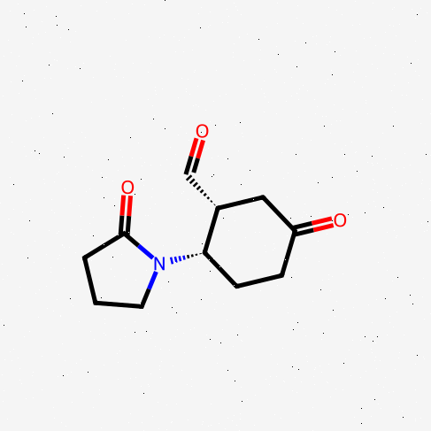 O=C[C@@H]1CC(=O)CC[C@@H]1N1CCCC1=O